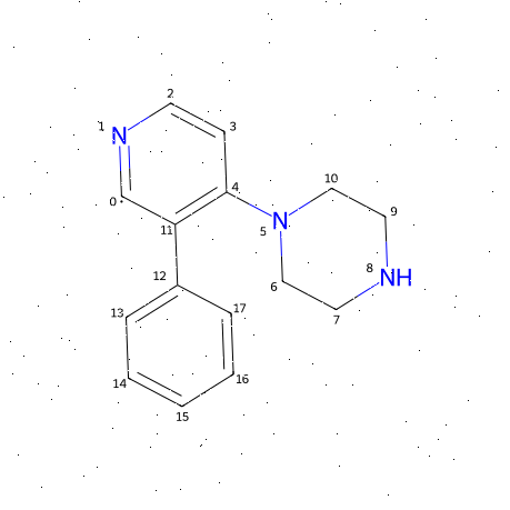 [c]1nccc(N2CCNCC2)c1-c1ccccc1